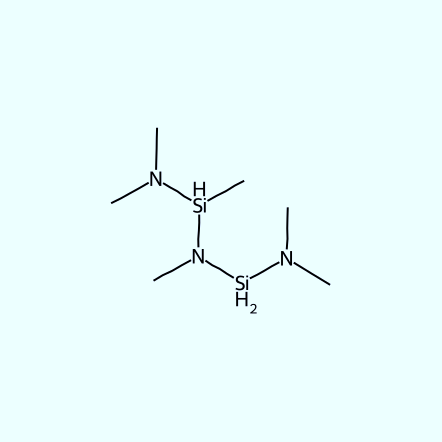 CN(C)[SiH2]N(C)[SiH](C)N(C)C